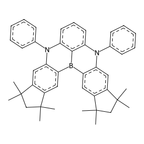 CC1(C)CC(C)(C)c2cc3c(cc21)B1c2cc4c(cc2N(c2ccccc2)c2cccc(c21)N3c1ccccc1)C(C)(C)CC4(C)C